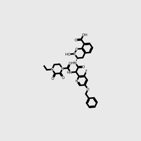 CCN1CCN(C(=O)NC(C(=O)N[C@H]2Cc3cccc(C(=O)O)c3OB2O)c2ncc(OCc3ccccc3)cc2F)C(=O)C1=O